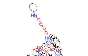 C/C=C/C1=CN2C(=O)c3cc(OC)c(OCCCOc4cc5c(cc4OC)C(=O)N4C=C(/C=C/C)C[C@H]4[C@H](O)N5C(=O)OCc4ccc(NC(=O)[C@H](C)NC(=O)[C@@H](NC(=O)CCOCCOCCOCCOCCNCCC5CCCCCCCCCCCCC5)C(C)C)cc4)cc3N=C[C@@H]2C1